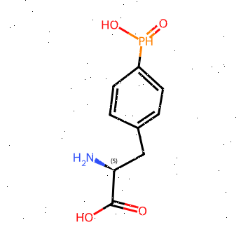 N[C@@H](Cc1ccc([PH](=O)O)cc1)C(=O)O